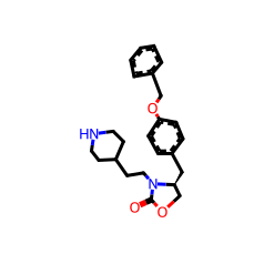 O=C1OC[C@H](Cc2ccc(OCc3ccccc3)cc2)N1CCC1CCNCC1